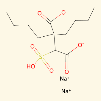 CCCCC(CCCC)(C(=O)[O-])C(C(=O)[O-])S(=O)(=O)O.[Na+].[Na+]